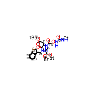 CCNC(=O)NOCC(=O)NC(CC(=O)OC(C)(C)C)C(=O)N(Cc1csc2ccccc12)[C@@H](C)C(OCC)OCC